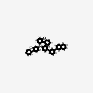 C1=CC2Oc3cc(N(c4ccc(-c5cccc(-c6ccc7ccccc7c6)c5)cc4)c4cccc5oc6ccccc6c45)ccc3C2C=C1